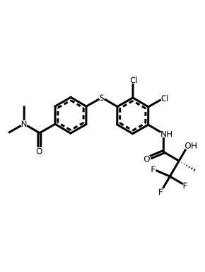 CN(C)C(=O)c1ccc(Sc2ccc(NC(=O)[C@@](C)(O)C(F)(F)F)c(Cl)c2Cl)cc1